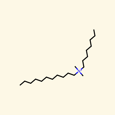 CCCCCCCCCCC[N+](C)(C)CCCCCCCC